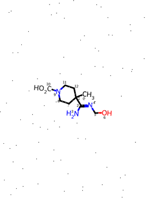 CC1(C(N)=NCO)CCN(C(=O)O)CC1